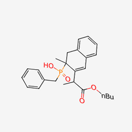 CCCCOC(=O)C(C)C1=Cc2ccccc2CC1(C)P(=O)(O)Cc1ccccc1